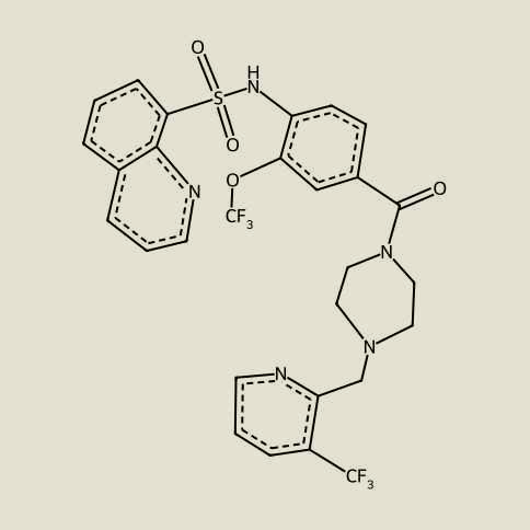 O=C(c1ccc(NS(=O)(=O)c2cccc3cccnc23)c(OC(F)(F)F)c1)N1CCN(Cc2ncccc2C(F)(F)F)CC1